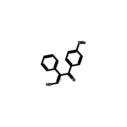 COc1ccc(C(=O)/C(=C/O)c2ccccc2)cc1